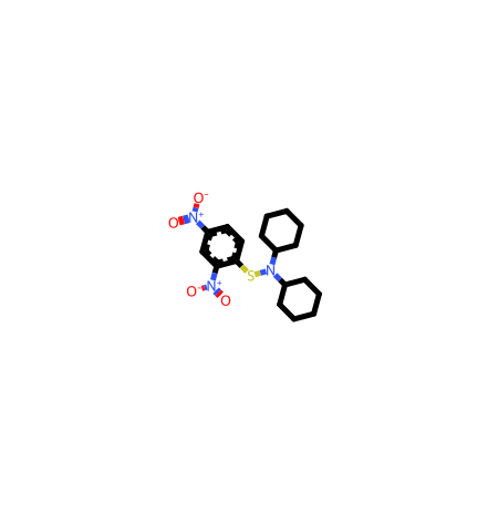 O=[N+]([O-])c1ccc(SN(C2CCCCC2)C2CCCCC2)c([N+](=O)[O-])c1